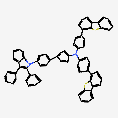 c1ccc(-c2c(-c3ccccc3)n(-c3ccc(-c4ccc(N(c5ccc(-c6cccc7c6sc6ccccc67)cc5)c5ccc(-c6cccc7c6sc6ccccc67)cc5)cc4)cc3)c3ccccc23)cc1